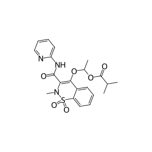 CC(OC(=O)C(C)C)OC1=C(C(=O)Nc2ccccn2)N(C)S(=O)(=O)c2ccccc21